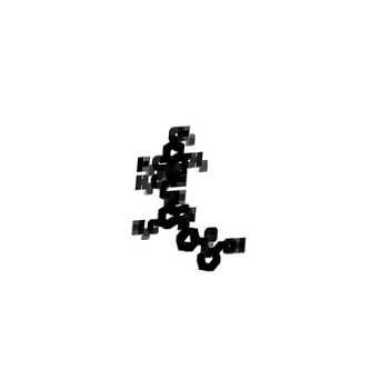 Cc1cc(C)c(S(=O)(=O)N[C@@H](C)CNc2cc(C)cc3c2cnn3-c2cccc(C(=O)N3CCCCC3CO)c2)c(C)c1